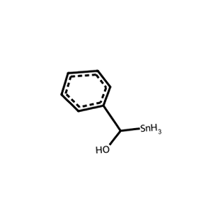 O[CH]([SnH3])c1ccccc1